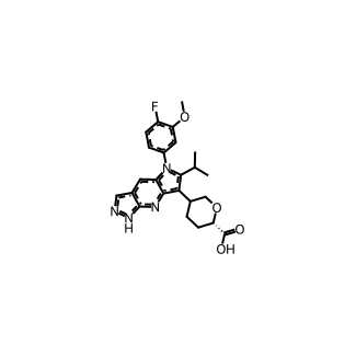 COc1cc(-n2c(C(C)C)c(C3CC[C@@H](C(=O)O)OC3)c3nc4[nH]ncc4cc32)ccc1F